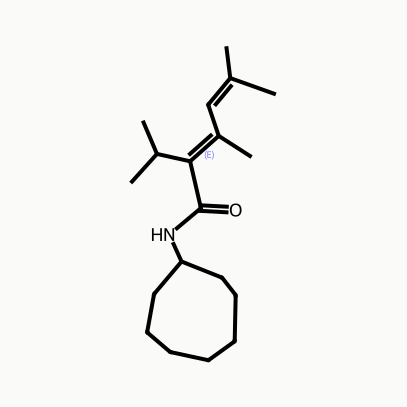 CC(C)=C/C(C)=C(/C(=O)NC1CCCCCCC1)C(C)C